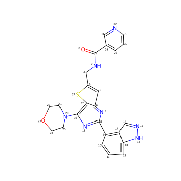 O=C(NCc1cc2nc(-c3cccc4[nH]ncc34)nc(N3CCOCC3)c2s1)c1cccnc1